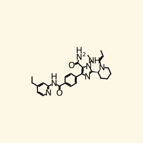 CC=CN1CCCC[C@H]1c1nc(-c2ccc(C(=O)Nc3cc(CC)ccn3)cc2)c(C(N)=O)n1NC